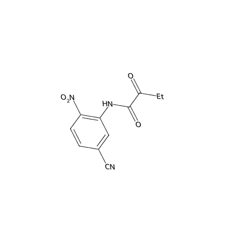 CCC(=O)C(=O)Nc1cc(C#N)ccc1[N+](=O)[O-]